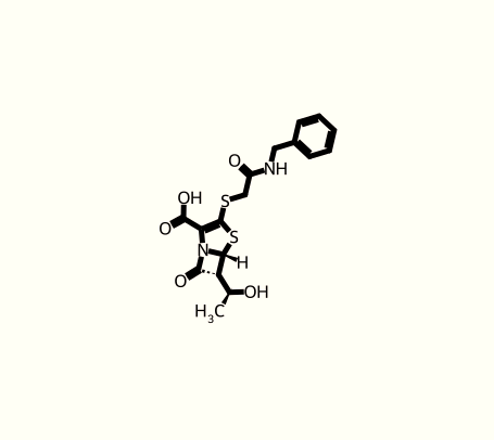 C[C@H](O)[C@@H]1C(=O)N2C(C(=O)O)=C(SCC(=O)NCc3ccccc3)S[C@H]12